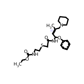 CCOC(=O)NCCSCC(=O)NC(/C=C(/C)CN1CCCCC1)Oc1ccccc1